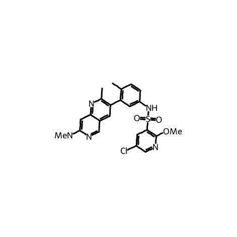 CNc1cc2nc(C)c(-c3cc(NS(=O)(=O)c4cc(Cl)cnc4OC)ccc3C)cc2cn1